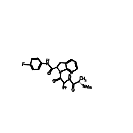 CN[C@@H](C)C(=O)NC(C(=O)N1c2ncccc2CC1C(=O)Nc1ccc(F)cc1)C(C)C